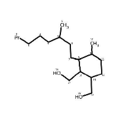 CC(C)CCCC(C)CCC1C(C)CCC(CO)C1CO